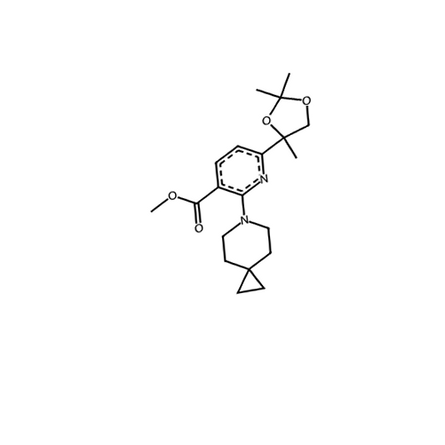 COC(=O)c1ccc(C2(C)COC(C)(C)O2)nc1N1CCC2(CC1)CC2